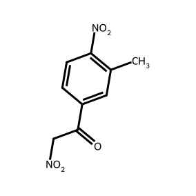 Cc1cc(C(=O)C[N+](=O)[O-])ccc1[N+](=O)[O-]